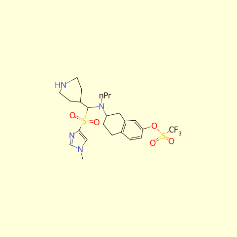 CCCN(C1CCc2ccc(OS(=O)(=O)C(F)(F)F)cc2C1)C(C1CCNCC1)S(=O)(=O)c1cn(C)cn1